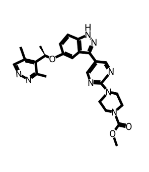 COC(=O)N1CCN(c2ncc(-c3n[nH]c4ccc(O[C@H](C)c5c(C)cnnc5C)cc34)cn2)CC1